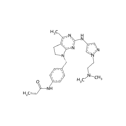 C=CC(=O)Nc1ccc(CN2CCc3c(C)nc(Nc4cnn(CCN(C)C)c4)nc32)cc1